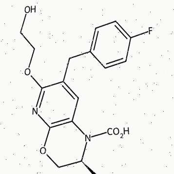 C[C@H]1COc2nc(OCCO)c(Cc3ccc(F)cc3)cc2N1C(=O)O